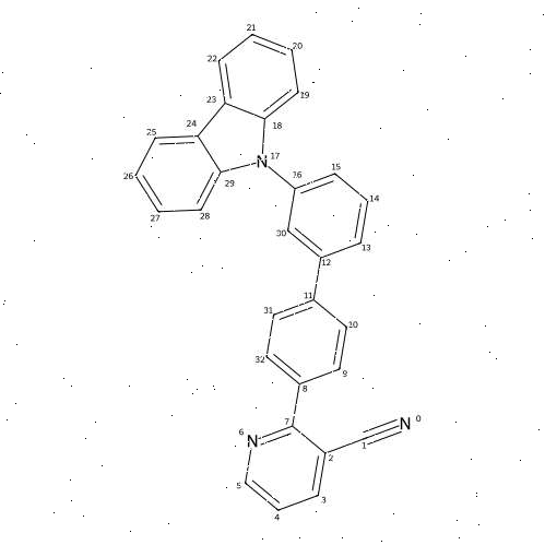 N#Cc1cccnc1-c1ccc(-c2cccc(-n3c4ccccc4c4ccccc43)c2)cc1